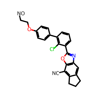 N#Cc1c2c(cc3nc(-c4cccc(-c5ccc(OCCN=O)cc5)c4Cl)oc13)CCC2